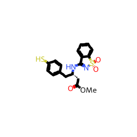 COC(=O)C[C@H](Cc1ccc(S)cc1)NC1=NS(=O)(=O)c2ccccc21